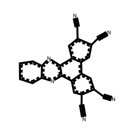 N#Cc1cc2c3cc(C#N)c(C#N)cc3c3nc4ccccc4nc3c2cc1C#N